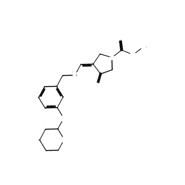 CC(C)(C)OC(=O)N1CC(=N)/C(=C\NCc2cccc(OC3CCCCO3)c2)C1